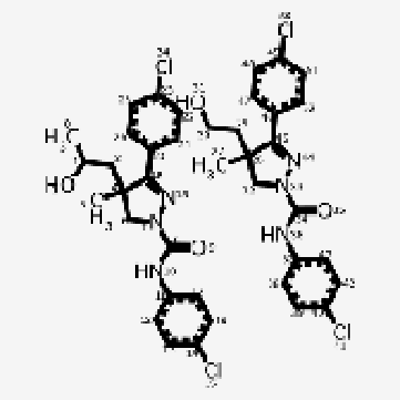 CC(O)CC1(C)CN(C(=O)Nc2ccc(Cl)cc2)N=C1c1ccc(Cl)cc1.CC1(CCO)CN(C(=O)Nc2ccc(Cl)cc2)N=C1c1ccc(Cl)cc1